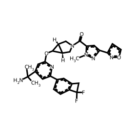 Cn1nc(-c2ccon2)cc1C(=O)N1C[C@@H]2C(Oc3cc(C(C)(C)N)cc(-c4ccc5c(c4)CC5(F)F)n3)[C@@H]2C1